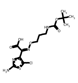 CC(C)(C)OC(=O)NCCCO/N=C(\C(=O)O)c1nc(N)sc1Cl